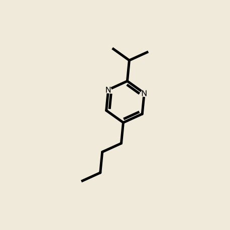 CCCCc1cnc(C(C)C)nc1